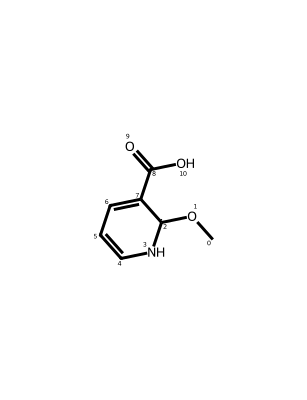 CO[C]1NC=CC=C1C(=O)O